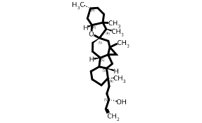 C=C[C@@H](O)CC[C@@]1(C)CCCC2[C@@H]3CC[C@@]4(CC5(C)CC35C[C@@H]21)O[C@@H]1C[C@H](C)CCC1(C)[C@H]4C